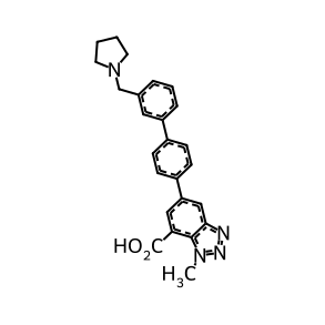 Cn1nnc2cc(-c3ccc(-c4cccc(CN5CCCC5)c4)cc3)cc(C(=O)O)c21